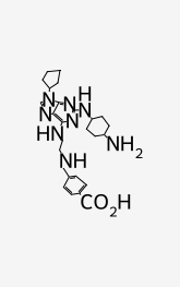 NC1CCC(Nc2nc(NCCNCc3ccc(C(=O)O)cc3)c3ncn(C4CCCC4)c3n2)CC1